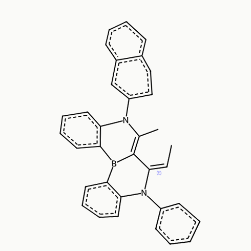 C/C=C1\C2=C(C)N(c3ccc4ccccc4c3)c3ccccc3B2c2ccccc2N1c1ccccc1